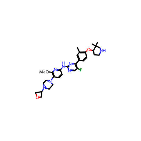 COc1nc(Nc2ncc(F)c(-c3ccc(OC4CCNCC4(C)C)c(C)c3)n2)ccc1N1CCN(C2COC2)CC1